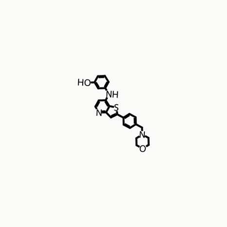 Oc1cccc(Nc2ccnc3cc(-c4ccc(CN5CCOCC5)cc4)sc23)c1